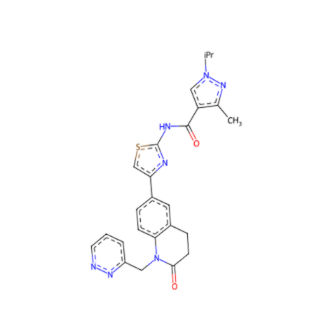 Cc1nn(C(C)C)cc1C(=O)Nc1nc(-c2ccc3c(c2)CCC(=O)N3Cc2cccnn2)cs1